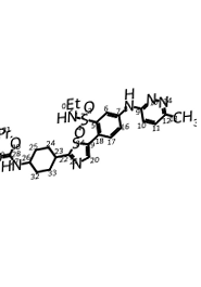 CCNS(=O)(=O)c1cc(Nc2ccc(C)nn2)ccc1-c1cnc(C2CCC(NC(=O)OC(C)C)CC2)s1